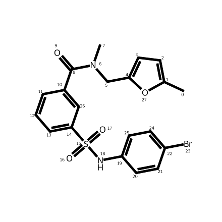 Cc1ccc(CN(C)C(=O)c2cccc(S(=O)(=O)Nc3ccc(Br)cc3)c2)o1